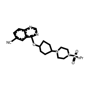 CCCS(=O)(=O)N1CCN(C2CCC(Oc3ncnc4ccc(C#N)cc34)CC2)CC1